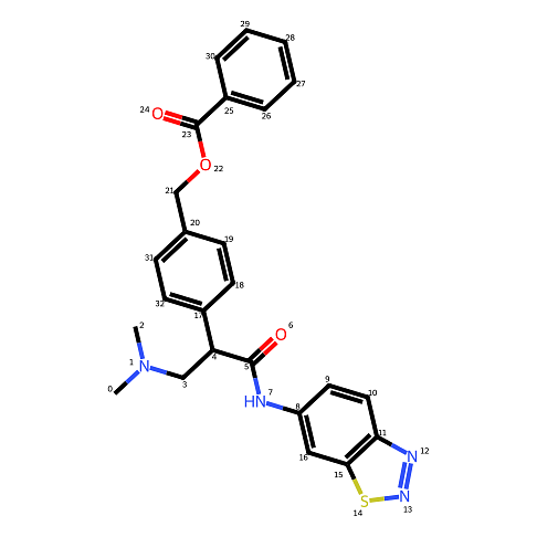 CN(C)CC(C(=O)Nc1ccc2nnsc2c1)c1ccc(COC(=O)c2ccccc2)cc1